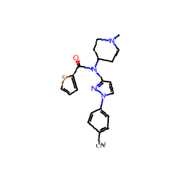 CN1CCC(N(C(=O)c2cccs2)c2ccn(-c3ccc(C#N)cc3)n2)CC1